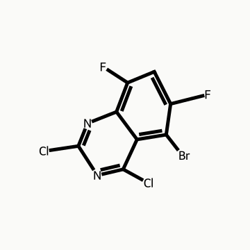 Fc1cc(F)c2nc(Cl)nc(Cl)c2c1Br